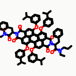 CCCN(CC)C(=O)C(Cc1ccccc1)N1C(=O)c2cc(Oc3cccc(C(C)C)c3)c3c4c(Oc5cccc(C(C)C)c5)cc5c6c(cc(Oc7cccc(C(C)C)c7)c(c7c(Oc8cccc(C(C)C)c8)cc(c2c37)C1=O)c64)C(=O)N(C(Cc1ccccc1)C(=O)N(CC)CCC)C5=O